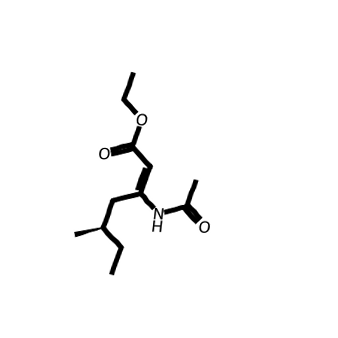 CCOC(=O)C=C(C[C@H](C)CC)NC(C)=O